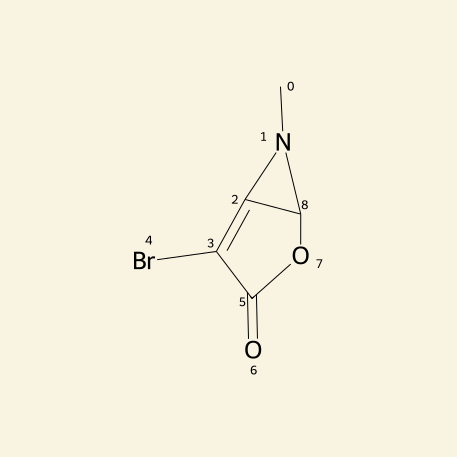 CN1C2=C(Br)C(=O)OC21